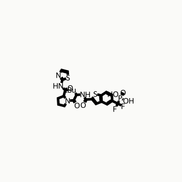 CC(C)(C)C(NC(=O)c1cc2cc(C(F)(F)P(=O)(O)O)ccc2s1)C(=O)N1CCCC1C(=O)Nc1nccs1